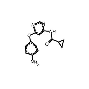 Nc1ccc(Oc2cc(NC(=O)C3CC3)ncn2)cc1